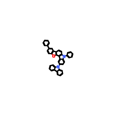 c1ccc(-c2ccc3oc4c(ccc5c4c4cc(-n6c7ccccc7c7ccccc76)ccc4n5-c4ccccc4)c3c2)cc1